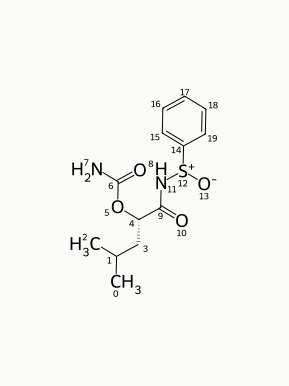 CC(C)C[C@H](OC(N)=O)C(=O)N[S+]([O-])c1ccccc1